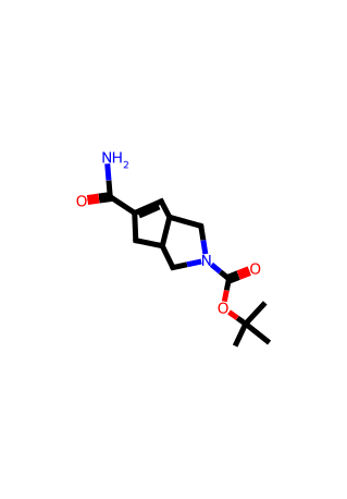 CC(C)(C)OC(=O)N1CC2C=C(C(N)=O)CC2C1